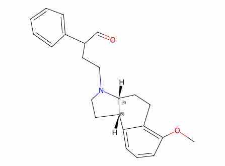 COc1cccc2c1CC[C@@H]1[C@H]2CCN1CCC(C=O)c1ccccc1